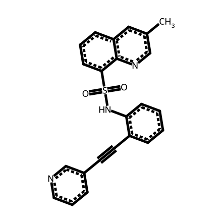 Cc1cnc2c(S(=O)(=O)Nc3ccccc3C#Cc3cccnc3)cccc2c1